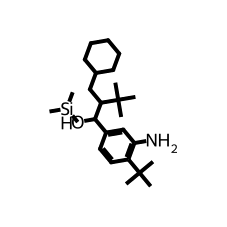 C[SiH](C)OC(c1ccc(C(C)(C)C)c(N)c1)C(CC1CCCCC1)C(C)(C)C